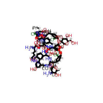 CC(C)C[C@H](C(=O)N[C@H]1C(=O)N[C@@H](CC(N)=O)C(=O)N[C@H]2C(=O)N[C@H]3C(=O)N[C@H](C(=O)N[C@@H](C(=O)O)c4cc(O)cc(O)c4-c4cc3ccc4I)[C@H](O[C@H]3C[C@](C)(N)[C@@H](O)[C@H](C)O3)c3ccc(c(Cl)c3)Oc3cc2cc(c3O[C@@H]2O[C@H](CO)[C@@H](O)[C@H](O)[C@H]2O[C@H]2C[C@](C)(NCc3ccc(-c4ccc(Cl)cc4)cc3)[C@@H](O)[C@H](C)O2)Oc2ccc(cc2Cl)[C@H]1O)N(C)C(=O)OCOC(=O)[C@@H](N)CCCCN